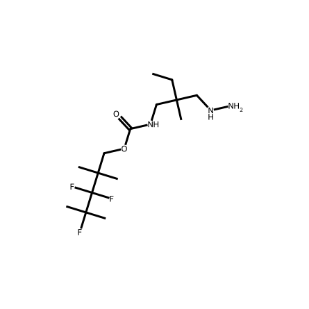 CCC(C)(CNN)CNC(=O)OCC(C)(C)C(F)(F)C(C)(C)F